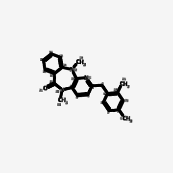 Cc1ccc(Cc2ccc3c(n2)N(C)c2ccccc2C(=O)N3C)c(C)c1